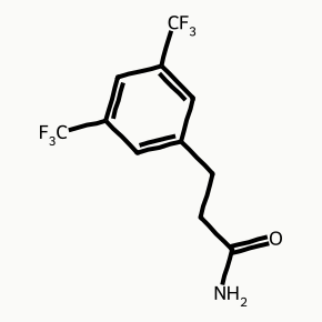 NC(=O)CCc1cc(C(F)(F)F)cc(C(F)(F)F)c1